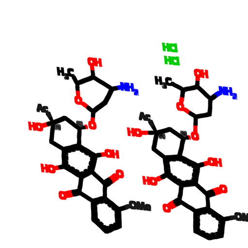 COc1cccc2c1C(=O)c1c(O)c3c(c(O)c1C2=O)C[C@@](O)(C(C)=O)C[C@@H]3OC1CC(N)C(O)C(C)O1.COc1cccc2c1C(=O)c1c(O)c3c(c(O)c1C2=O)C[C@@](O)(C(C)=O)C[C@@H]3OC1CC(N)C(O)C(C)O1.Cl.Cl